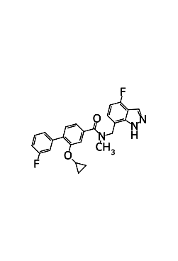 CN(Cc1ccc(F)c2cn[nH]c12)C(=O)c1ccc(-c2cccc(F)c2)c(OC2CC2)c1